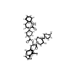 Cc1cc(CC(OC(=O)N2CCC(N3CCc4ccccc4NC3=O)CC2)C(=O)N2CCC(N3CCN(C)CC3)CC2)cn2ccnc12